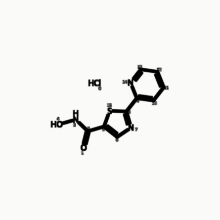 Cl.O=C(NO)c1cnc(-c2ccccn2)s1